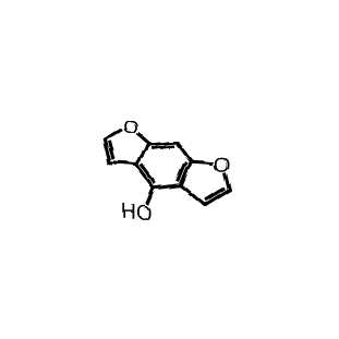 Oc1c2ccoc2cc2occc12